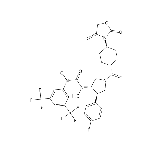 CN(C(=O)N(C)[C@@H]1CN(C(=O)[C@H]2CC[C@H](N3C(=O)COC3=O)CC2)C[C@H]1c1ccc(F)cc1)c1cc(C(F)(F)F)cc(C(F)(F)F)c1